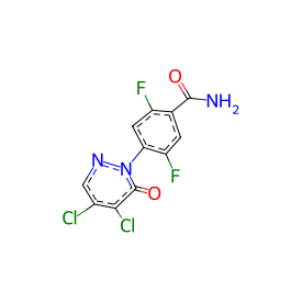 NC(=O)c1cc(F)c(-n2ncc(Cl)c(Cl)c2=O)cc1F